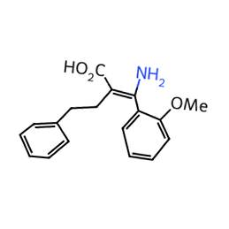 COc1ccccc1C(N)=C(CCc1ccccc1)C(=O)O